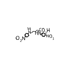 O=C(O)C(CCCCNc1ccc([N+](=O)[O-])cc1)Nc1ccc([N+](=O)[O-])cc1